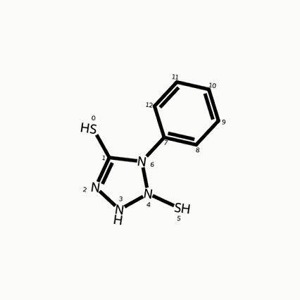 SC1=NNN(S)N1c1ccccc1